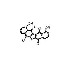 O=c1c2cccc(O)c2c(=O)c2c1sc1c(=O)c3cccc(O)c3c(=O)c12